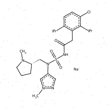 CC(C)c1ccc(Cl)c(C(C)C)c1CC(=O)NS(=O)(=O)N(C[C@@H]1CCCN1C)c1cnn(C)c1.[Na]